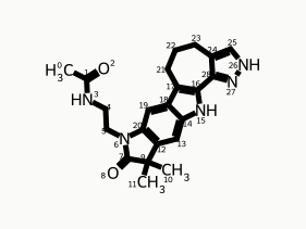 CC(=O)NCCN1C(=O)C(C)(C)c2cc3[nH]c4c(c3cc21)CCCc1c[nH]nc1-4